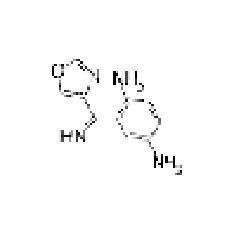 N=C(c1cocn1)c1cc(N)ccc1N